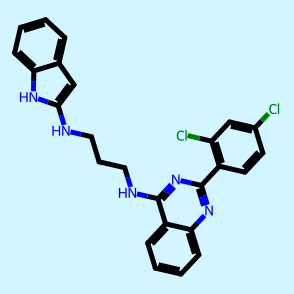 Clc1ccc(-c2nc(NCCCNc3cc4ccccc4[nH]3)c3ccccc3n2)c(Cl)c1